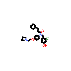 O=C(CCc1ccccc1)N(Cc1ccc(O)cc1Cl)c1ccc(OCCN2CCCC2)cc1